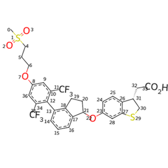 CS(=O)(=O)CCCOc1cc(C(F)(F)F)c(-c2cccc3c2CCC3Oc2ccc3c(c2)SC[C@H]3CC(=O)O)c(C(F)(F)F)c1